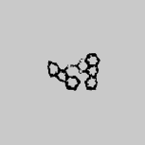 CC(Oc1c2ccccc2cc2ccccc12)Oc1c2ccccc2cc2ccccc12